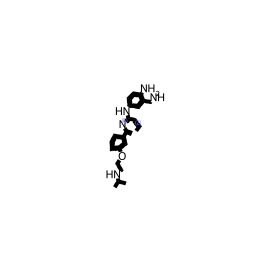 C=C(/N=C(\C=C/C)Nc1ccc(N)c(C=N)c1)c1cccc(OCCNC(C)C)c1